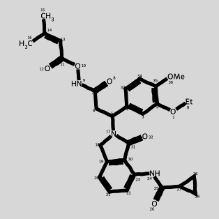 CCOc1cc(C(CC(=O)NOC(=O)C=C(C)C)N2Cc3cccc(NC(=O)C4CC4)c3C2=O)ccc1OC